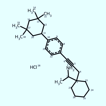 CC(N)C1(CC#Cc2ccc(C3CC(C)(C)CC(C)(C)C3)cc2)CCCCC1.Cl